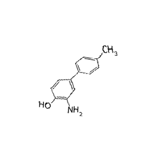 Cc1ccc(-c2ccc(O)c(N)c2)cc1